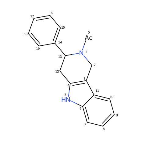 CC(=O)N1Cc2c([nH]c3ccccc23)CC1c1ccccc1